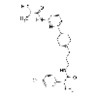 CC(C)C(=O)Nc1cccc(C2CCN(CCCNC(=O)C(C)c3ccc(Cl)cc3)CC2)n1